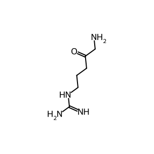 N=C(N)NCCCC(=O)CN